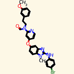 COc1cccc(CCN(C=O)c2cc(Oc3ccc4c(c3)nc(Nc3ccc(Br)cc3)n4C)ccn2)c1